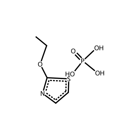 CCOc1nccs1.O=P(O)(O)O